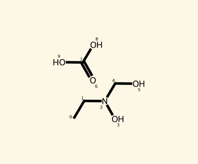 CCN(O)CO.O=C(O)O